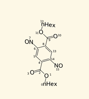 CCCCCCOC(=O)c1cc(N=O)c(C(=O)OCCCCCC)cc1N=O